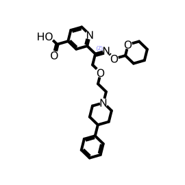 O=C(O)c1ccnc(/C(COCCN2CCC(c3ccccc3)CC2)=N/OC2CCCCO2)c1